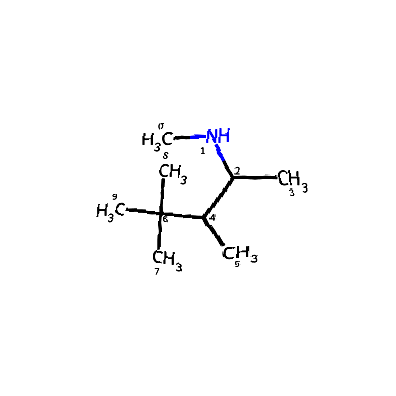 CNC(C)C(C)C(C)(C)C